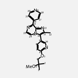 COC(C)(C)COc1ccc(-c2c(C)nc3c(-c4ccncc4)nccn23)cn1